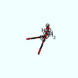 CCCCCCCCC=CCCCCCCCCOCCCN(CCCOCCCCCCCCC=CCCCCCCCC)C(=O)CC(N)C(=O)NCCNC(=O)c1ccc(OC)cc1